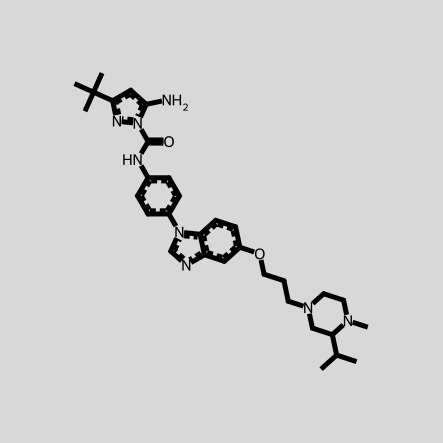 CC(C)C1CN(CCCOc2ccc3c(c2)ncn3-c2ccc(NC(=O)n3nc(C(C)(C)C)cc3N)cc2)CCN1C